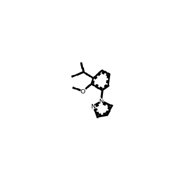 COc1c(C(C)C)cccc1-n1cccn1